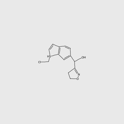 OC(C1=NOCC1)c1ccc2c(c1)[SH](CCl)C=C2